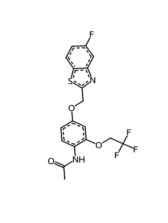 CC(=O)Nc1ccc(OCc2nc3cc(F)ccc3s2)cc1OCC(F)(F)F